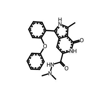 Cc1[nH]c(-c2ccccc2Oc2ccccc2)c2cc(C(=O)NN(C)C)[nH]c(=O)c12